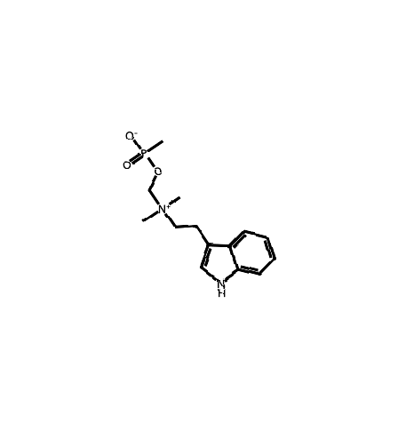 C[N+](C)(CCc1c[nH]c2ccccc12)COP(C)(=O)[O-]